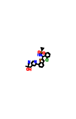 CC(O)(C#N)Cc1ccnc(-c2cccc3cc(C(NS(=O)(=O)C4CC4)c4ccccc4Cl)sc23)c1